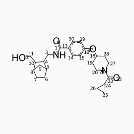 O=C(NCC1C2CCC(C2)C1CO)c1ccc(OC2CCN(C(=O)C3CC3)CC2)cc1